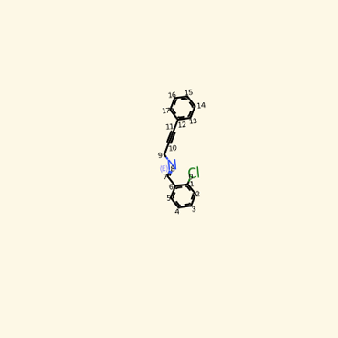 Clc1ccccc1/C=N/CC#Cc1ccccc1